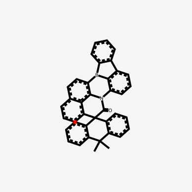 CC1(C)c2ccccc2C2(C(=O)N3c4cccc5c4B(c4ccccc4-5)c4ccc5cccc2c5c43)c2ccccc21